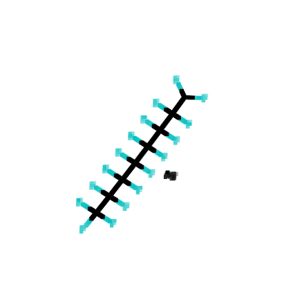 FC(F)C(F)(F)C(F)(F)C(F)(F)C(F)(F)C(F)(F)C(F)(F)C(F)(F)F.[Ag]